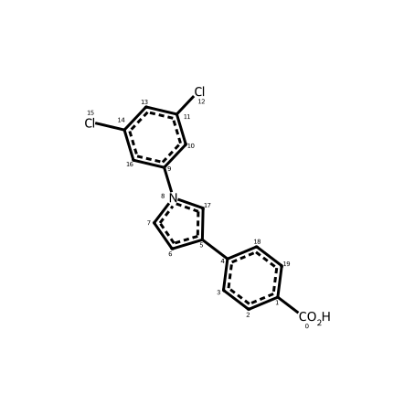 O=C(O)c1ccc(-c2ccn(-c3cc(Cl)cc(Cl)c3)c2)cc1